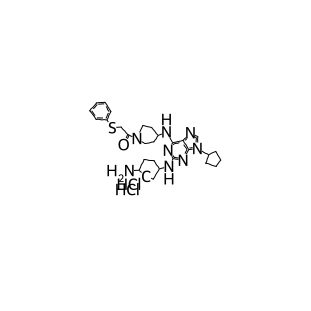 Cl.Cl.NC1CCC(Nc2nc(NC3CCN(C(=O)CSc4ccccc4)CC3)c3ncn(C4CCCC4)c3n2)CC1